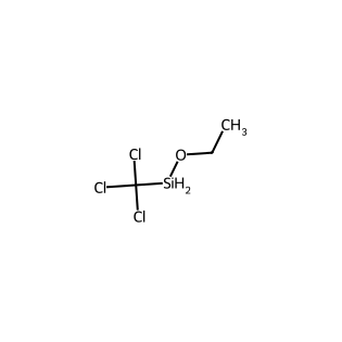 CCO[SiH2]C(Cl)(Cl)Cl